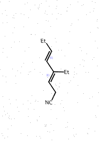 CC/C=C/C(=C/CC#N)CC